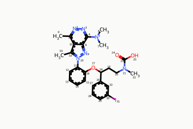 Cc1nnc(N(C)C)c2nn(-c3ccccc3OC(CCN(C)C(=O)O)c3cccc(I)c3)c(C)c12